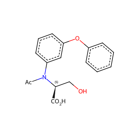 CC(=O)N(c1cccc(Oc2ccccc2)c1)[C@@H](CO)C(=O)O